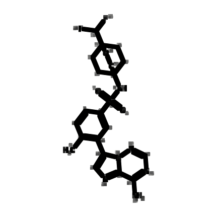 Cc1ccc(S(=O)(=O)NC23CCC(C(F)F)(CC2)OC3)cc1-c1cnc2c(N)ncnn12